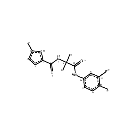 Cc1ccc(C(=O)NC(C)(C)C(=O)Nc2ccc(C)c(F)c2)s1